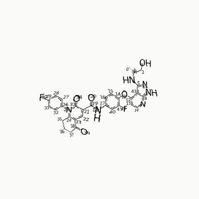 C[C@H](CO)Nc1n[nH]c2nccc(Oc3ccc(NC(=O)c4cc5c(n(-c6ccc(F)cc6)c4=O)CCCC5=O)cc3F)c12